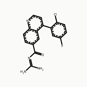 NC(N)=NC(=O)c1ccc2nccc(-c3cc(F)ccc3Cl)c2c1